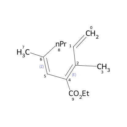 C=C/C(C)=C(\C=C(\C)CCC)C(=O)OCC